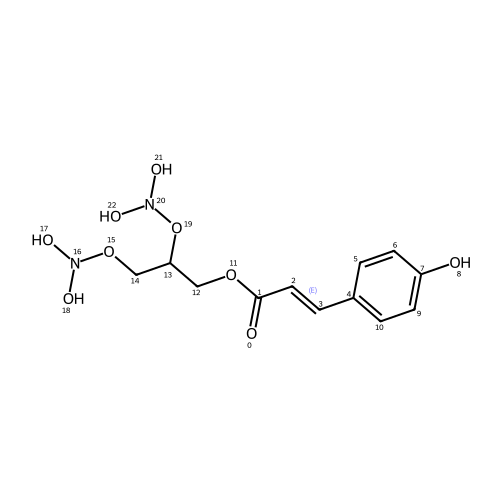 O=C(/C=C/c1ccc(O)cc1)OCC(CON(O)O)ON(O)O